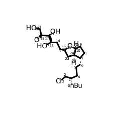 CCCC[C@H](CCl)CCC[C@H]1CC[C@@H]2OC(CCC(O)=C(O)C(=O)CO)C[C@H]12